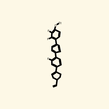 C=CC1CC=C(c2ccc(-c3ccc(-c4ccc(OCC)c(F)c4F)cc3)c(F)c2)CC1